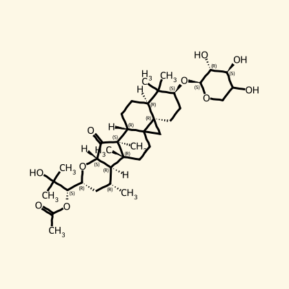 CC(=O)O[C@@H]([C@H]1C[C@@H](C)[C@H]2[C@H](O1)C(=O)[C@@]1(C)[C@@H]3CC[C@H]4C(C)(C)[C@@H](O[C@@H]5OCC(O)[C@H](O)[C@H]5O)CC[C@@]45CC35CC[C@]21C)C(C)(C)O